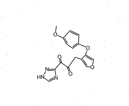 COc1ccc(Oc2cocc2CC(=O)C(=O)c2nc[nH]n2)cc1